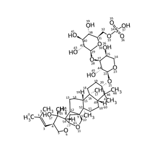 CC(C)=C[C@@H]1CO[C@]23C[C@]4(CO2)[C@H](CC[C@@H]2[C@@]5(C)CC[C@H](O[C@@H]6OC[C@H](O)[C@H](O[C@@H]7O[C@H](COS(=O)(=O)O)[C@@H](O)[C@H](O)[C@H]7O)[C@H]6O)C(C)(C)[C@@H]5CC[C@]24C)[C@H]3[C@@]1(C)O